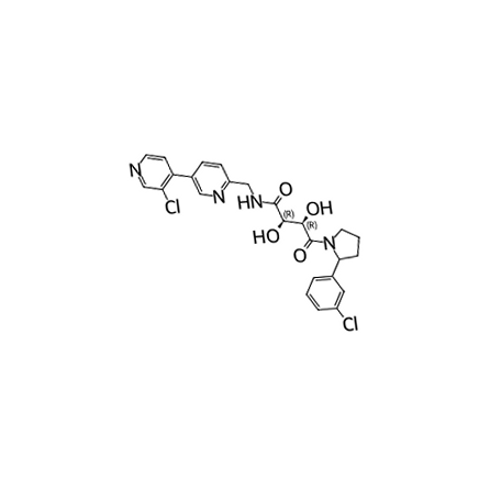 O=C(NCc1ccc(-c2ccncc2Cl)cn1)[C@H](O)[C@@H](O)C(=O)N1CCCC1c1cccc(Cl)c1